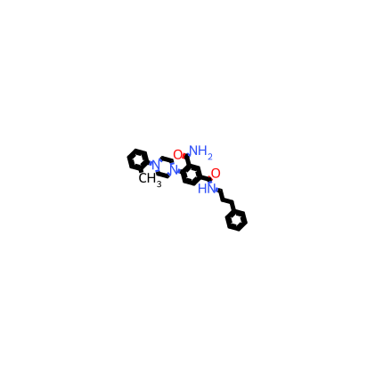 Cc1ccccc1N1CCN(c2ccc(C(=O)NCCCc3ccccc3)cc2C(N)=O)CC1